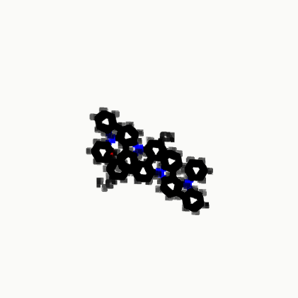 N#Cc1ccc(-c2cc(-c3cc(C(F)(F)F)cc(C(F)(F)F)c3)ccc2-n2c3ccccc3c3c2ccc2c4ccccc4n(-c4ccccc4)c23)c(-n2c3ccccc3c3c2ccc2c4ccccc4n(-c4ccccc4)c23)c1